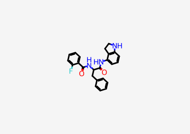 O=C(NC(Cc1ccccc1)C(=O)Nc1cccc2c1CCN2)c1ccccc1F